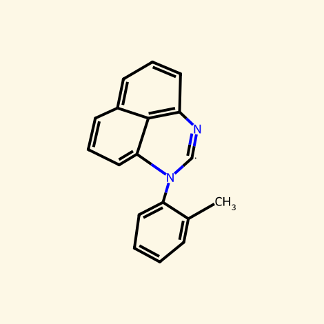 Cc1ccccc1N1[C]=Nc2cccc3cccc1c23